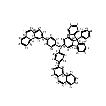 c1ccc(C2(c3ccccc3)c3ccccc3-c3cc(N(c4ccc(-c5ccc6ccc7ccccc7c6c5)cc4)c4ccc(-c5ccc6ccc7ccccc7c6c5)cc4)ccc32)cc1